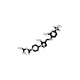 Cc1nc(S(C)(=O)=O)ccc1NCc1cnn(C2CCN(C(=O)OC(C)C)CC2)c1N